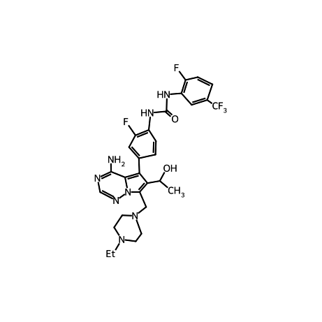 CCN1CCN(Cc2c(C(C)O)c(-c3ccc(NC(=O)Nc4cc(C(F)(F)F)ccc4F)c(F)c3)c3c(N)ncnn23)CC1